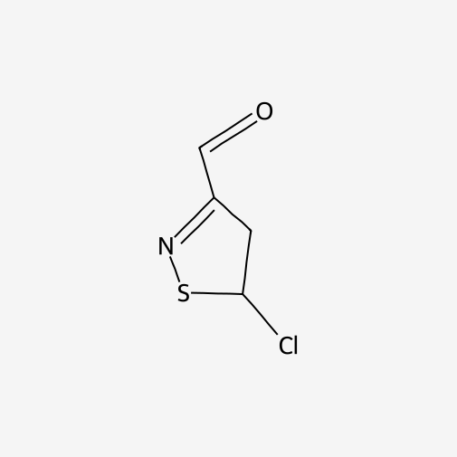 O=CC1=NSC(Cl)C1